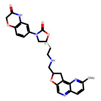 COc1ccc2ncc3c(c2n1)CC(CNCC[C@@H]1CN(c2ccc4c(c2)NC(=O)CO4)C(=O)O1)O3